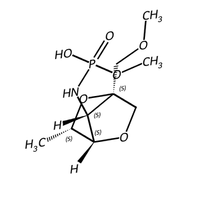 COC[C@@]12CO[C@H]([C@H](C)O1)[C@@H]2NP(=O)(O)OC